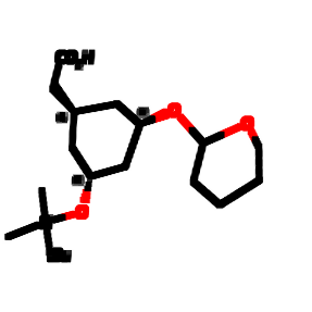 CC(C)(C)[Si](C)(C)O[C@@H]1C[C@@H](CC(=O)O)C[C@@H](OC2CCCCO2)C1